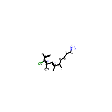 C=C(C)/C(Cl)=C(C#N)\C=C(/C)C(C)CCCCN